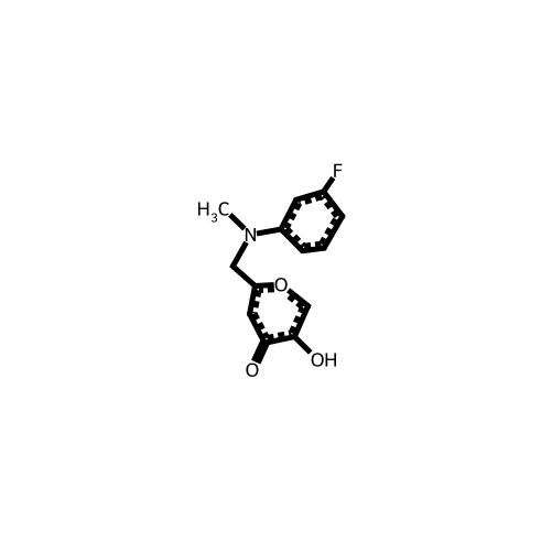 CN(Cc1cc(=O)c(O)co1)c1cccc(F)c1